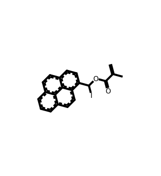 C=C(C)C(=O)OC(I)c1ccc2ccc3cccc4ccc1c2c34